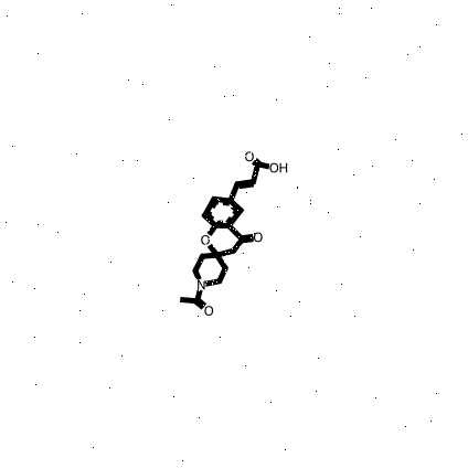 CC(=O)N1CCC2(CC1)CC(=O)c1cc(C=CC(=O)O)ccc1O2